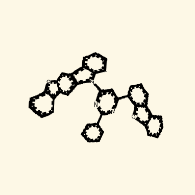 c1ccc(-c2nc(-c3cccc4c3oc3ccccc34)cc(-n3c4ccccc4c4cc5oc6ccccc6c5cc43)n2)cc1